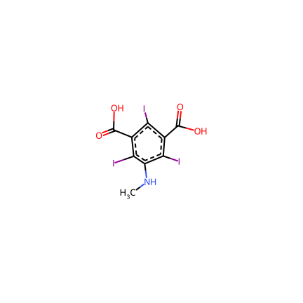 CNc1c(I)c(C(=O)O)c(I)c(C(=O)O)c1I